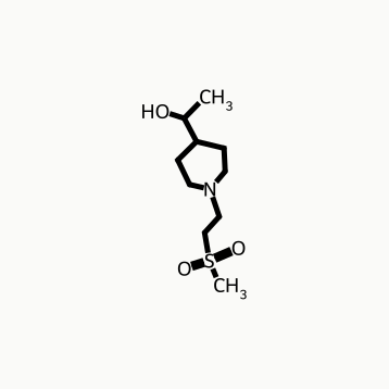 CC(O)C1CCN(CCS(C)(=O)=O)CC1